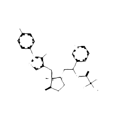 C=C1CC[C@H](CC(NC(=O)C(O)(CC)CC)c2cccnc2)[C@@]1(C)Cc1cnn(-c2ccc(F)cc2)c1C